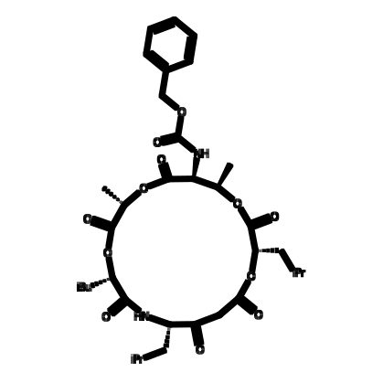 CCC(C)[C@@H]1OC(=O)[C@H](C)OC(=O)[C@@H](NC(=O)OCc2ccccc2)[C@@H](C)OC(=O)[C@H](CC(C)C)OC(=O)CC(=O)[C@H](CC(C)C)NC1=O